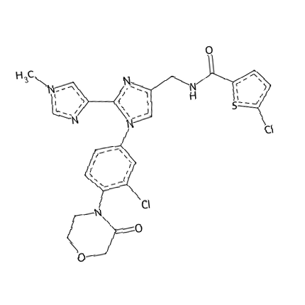 Cn1cnc(-c2nc(CNC(=O)c3ccc(Cl)s3)cn2-c2ccc(N3CCOCC3=O)c(Cl)c2)c1